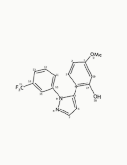 COc1ccc(-c2ccnn2-c2cccc(C(F)(F)F)c2)c(O)c1